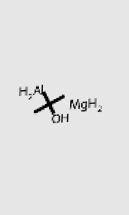 C[C](C)(O)[AlH2].[MgH2]